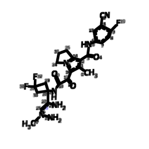 Cc1c(C(=O)Nc2ccc(F)c(C#N)c2)c2n(c1C(=O)C(=O)NC1(/C(N)=C/N(C)N)CC(F)(F)C1)CCC2